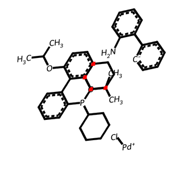 CC(C)Oc1cccc(OC(C)C)c1-c1ccccc1P(C1CCCCC1)C1CCCCC1.Nc1ccccc1-c1[c-]cccc1.[Cl][Pd+]